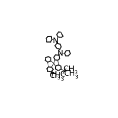 Cc1ccc2c(c1)C1(c3ccccc3-2)c2ccc(N(c3ccccc3)c3ccc(N(c4ccccc4)c4ccccc4)cc3)cc2-c2cc(C(C)(C)C)ccc21